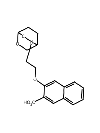 O=C(O)c1cc2ccccc2cc1OCCN1CC2CCC1CO2